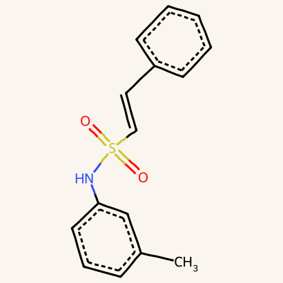 Cc1cccc(NS(=O)(=O)/C=C/c2ccccc2)c1